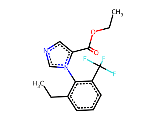 CCOC(=O)c1cncn1-c1c(CC)cccc1C(F)(F)F